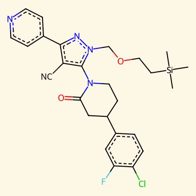 C[Si](C)(C)CCOCn1nc(-c2ccncc2)c(C#N)c1N1CCC(c2ccc(Cl)c(F)c2)CC1=O